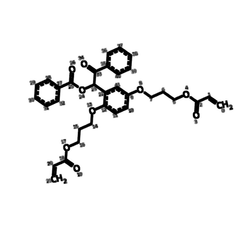 C=CC(=O)OCCCOc1ccc(OCCCOC(=O)C=C)c(C(OC(=O)c2ccccc2)C(=O)c2ccccc2)c1